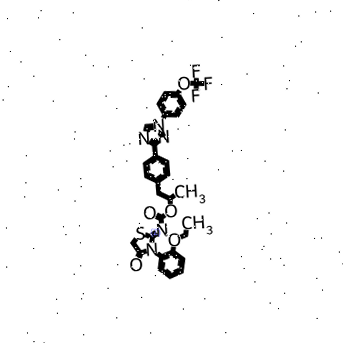 CCOc1ccccc1N1C(=O)CS/C1=N\C(=O)OC(C)Cc1ccc(-c2ncn(-c3ccc(OC(F)(F)F)cc3)n2)cc1